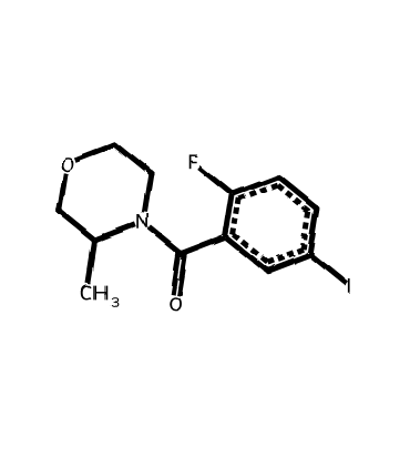 CC1COCCN1C(=O)c1cc(I)ccc1F